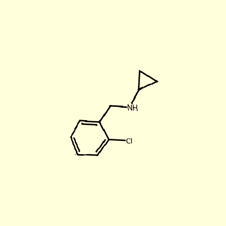 Clc1c[c]ccc1CNC1CC1